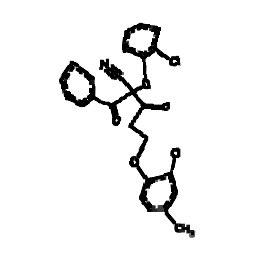 Cc1ccc(OCCC(=O)C(C#N)(Oc2ccccc2Cl)C(=O)c2ccccc2)c(Cl)c1